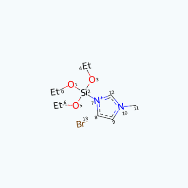 CCO[Si](OCC)(OCC)[n+]1ccn(C)c1.[Br-]